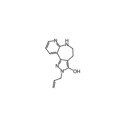 C=CCn1nc2c(c1O)CCNc1ncccc1-2